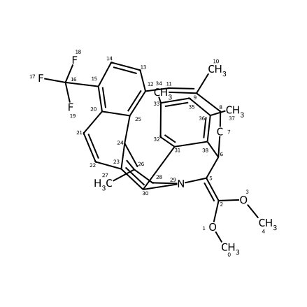 COC(OC)=C1C2CC/C(C)=C\c3ccc(C(F)(F)F)c4ccc5c(c34)=C(C)CN1C=5c1cc(C)cc(C)c12